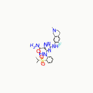 CC(C)S(=O)(=O)c1ccccc1Nc1nc(Nc2cc3c(cc2F)CCN(C)C3)nnc1C(N)=O